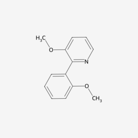 COc1ccccc1-c1ncccc1OC